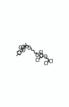 CC(COCCCCCOc1c(Cl)cc(OCC=C(Cl)Cl)cc1Cl)=NOS(=O)(=O)c1ccc(C)cc1